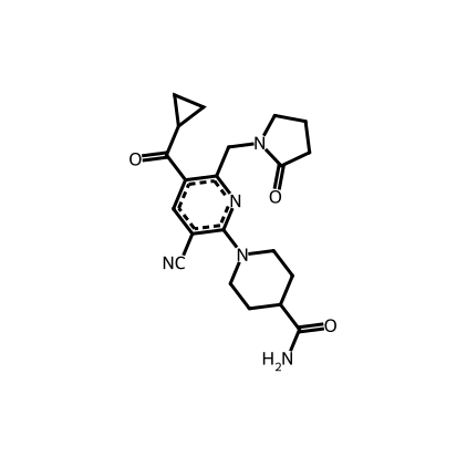 N#Cc1cc(C(=O)C2CC2)c(CN2CCCC2=O)nc1N1CCC(C(N)=O)CC1